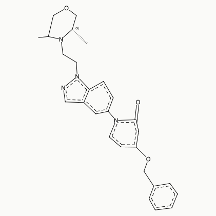 CC1COC[C@H](C)N1CCn1ncc2cc(-n3ccc(OCc4ccccc4)cc3=O)ccc21